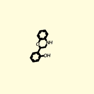 Oc1ccccc1C1CNc2ccccc2O1